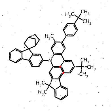 Cc1cc(N(c2ccc3c(c2)C(C)(C)c2ccccc2-3)c2ccc3c(c2)C2(CC4CCC2C4)c2ccccc2-3)c(-c2cccc(C(C)(C)C)c2)cc1-c1ccc(C(C)(C)C)cc1